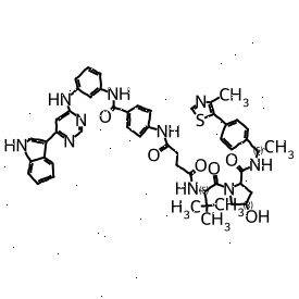 Cc1ncsc1-c1ccc([C@H](C)NC(=O)C2C[C@@H](O)CN2C(=O)[C@@H](NC(=O)CCC(=O)Nc2ccc(C(=O)Nc3cccc(Nc4cc(-c5c[nH]c6ccccc56)ncn4)c3)cc2)C(C)(C)C)cc1